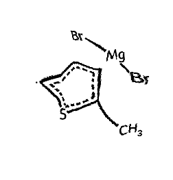 Cc1cc[c]s1.[Br][Mg][Br]